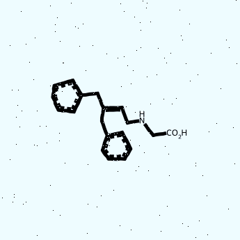 O=C(O)CNCC=C(Cc1ccccc1)Cc1ccccc1